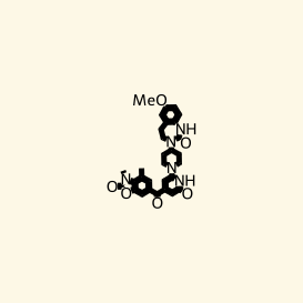 COc1ccc2c(c1)CCN(C1CCN(c3cc(C(=O)c4cc(C)c5c(c4)oc(=O)n5C)cc(=O)[nH]3)CC1)C(=O)N2